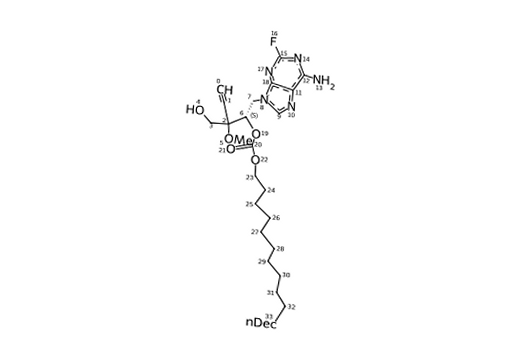 C#CC(CO)(OC)[C@H](Cn1cnc2c(N)nc(F)nc21)OC(=O)OCCCCCCCCCCCCCCCCCCCC